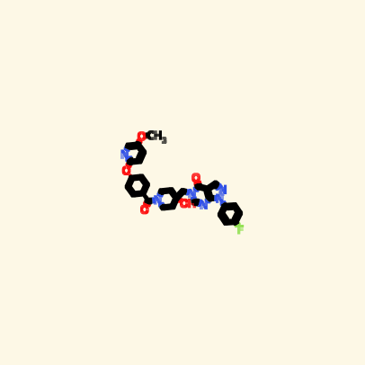 COc1ccc(O[C@H]2CC[C@H](C(=O)N3CCC(O)(Cn4cnc5c(cnn5-c5ccc(F)cc5)c4=O)CC3)CC2)nc1